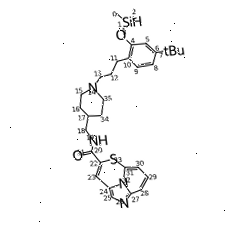 C[SiH](C)Oc1cc(C(C)(C)C)ccc1CCCN1CCC(CNC(=O)C2=Cc3cnc4cccc(n34)S2)CC1